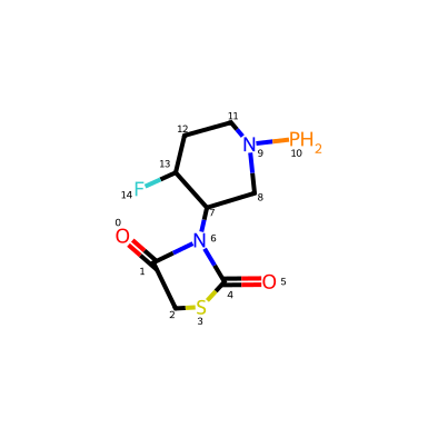 O=C1CSC(=O)N1C1CN(P)CCC1F